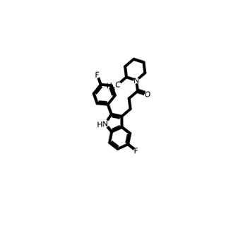 CC1CCCCN1C(=O)CCc1c(-c2ccc(F)cc2)[nH]c2ccc(F)cc12